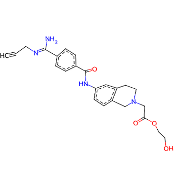 C#CCN=C(N)c1ccc(C(=O)Nc2ccc3c(c2)CCN(CC(=O)OCCO)C3)cc1